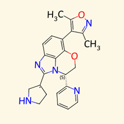 Cc1noc(C)c1-c1ccc2nc([C]3CCNC3)n3c2c1OC[C@@H]3c1ccccn1